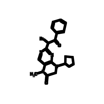 CN1C(=O)CN(C2CCCC2)c2nc(C(Br)C(=O)c3ccccc3)ncc21